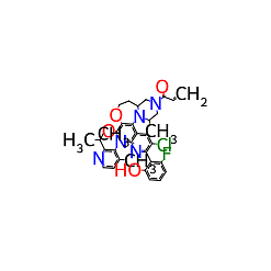 C=CC(=O)N1CC(C)N2c3c(c(=O)n(-c4c(C)ccnc4C(C)C)c4nc(-c5c(O)cccc5F)c(Cl)cc34)OCCC2C1